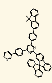 CC1(C)c2ccccc2-c2ccc(-c3ccc(-c4cc(-c5ccc(-c6cccnc6)cc5)nc(-c5ccc6c(c5)C5(c7ccccc7-6)c6ccccc6C6C=CC=CC65)n4)cc3)cc21